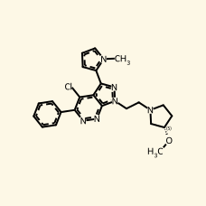 CO[C@H]1CCN(CCn2nc(-c3cccn3C)c3c(Cl)c(-c4ccccc4)nnc32)C1